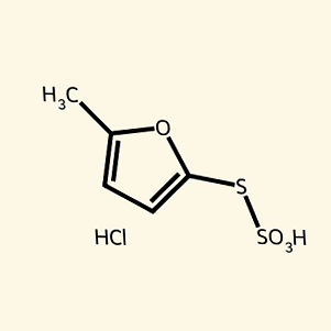 Cc1ccc(SS(=O)(=O)O)o1.Cl